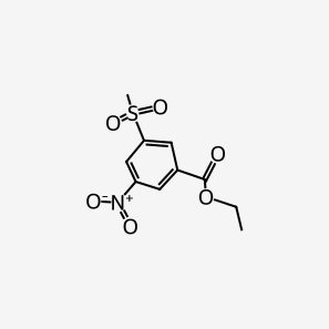 CCOC(=O)c1cc([N+](=O)[O-])cc(S(C)(=O)=O)c1